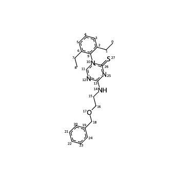 CCc1cccc(CC)c1-n1cnc(NCCOCc2ccccc2)nc1=S